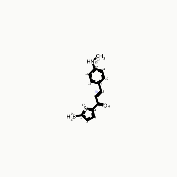 Bc1ccc(C(=O)/C=C/c2ccc(NC)cc2)s1